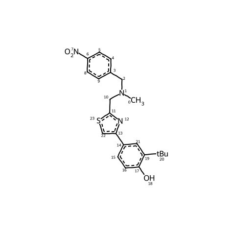 CN(Cc1ccc([N+](=O)[O-])cc1)Cc1nc(-c2ccc(O)c(C(C)(C)C)c2)cs1